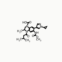 COC(=O)Nc1cc2c(cc1-c1cnn(C3CC3)c1)N(C(=O)O)CC(C)N2C(=O)CC(C)C